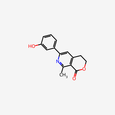 Cc1nc(-c2cccc(O)c2)cc2c1C(=O)OCC2